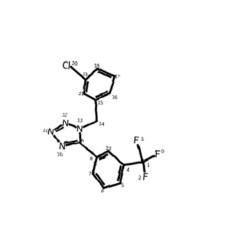 FC(F)(F)c1cccc(-c2nnnn2Cc2cccc(Cl)c2)c1